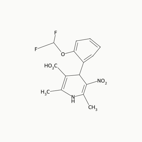 CC1=C(C(=O)O)C(c2ccccc2OC(F)F)C([N+](=O)[O-])=C(C)N1